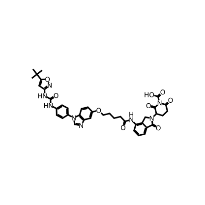 CC(C)(C)c1cc(NC(=O)Nc2ccc(-n3cnc4cc(OCCCCC(=O)Nc5cccc6c5CN(C5CCC(=O)N(C(=O)O)C5=O)C6=O)ccc43)cc2)no1